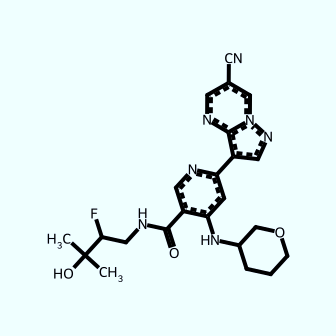 CC(C)(O)C(F)CNC(=O)c1cnc(-c2cnn3cc(C#N)cnc23)cc1NC1CCCOC1